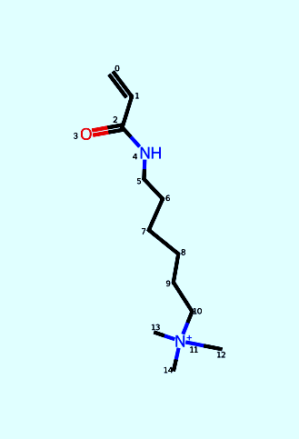 C=CC(=O)NCCCCCC[N+](C)(C)C